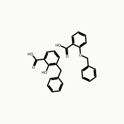 O=C(O)c1cccc(Cc2ccccc2)c1O.O=C(O)c1ccccc1OCc1ccccc1